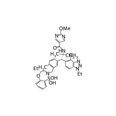 CC[C@@H]1CN(Cc2cc([C@@H](c3ccc4c(nnn4CC)c3C)C(C)(C)NC(=O)c3cnc(OC)nc3)ccc2C)S(O)(O)c2ccccc2O1